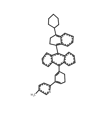 Cc1ccc(C2=CCCC(c3c4ccccc4c(C4=c5ccccc5=C(C5CCCCC5)CC4)c4ccccc34)=C2)nc1